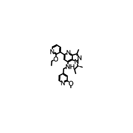 CCOc1ncccc1-c1cc(NCc2ccnc(OC)c2)c2c(n1)c(C)nn2[C@@H](C)CC